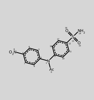 CC(=O)N(c1ccc([N+](=O)[O-])cc1)c1ccc(S(N)(=O)=O)cc1